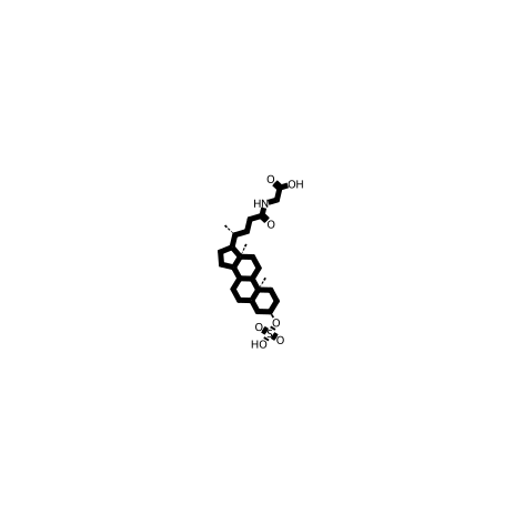 C[C@H](CCC(=O)NCC(=O)O)C1CCC2C3CCC4C[C@@H](OS(=O)(=O)O)CC[C@]4(C)C3CC[C@@]21C